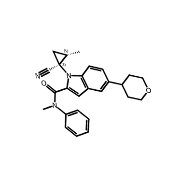 C[C@H]1C[C@]1(C#N)n1c(C(=O)N(C)c2ccccc2)cc2cc(C3CCOCC3)ccc21